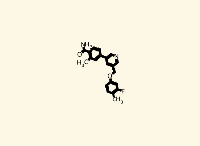 Cc1ccc(OCc2cncc(-c3ccc(C(N)=O)c(C)c3)c2)cc1F